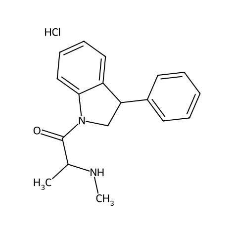 CNC(C)C(=O)N1CC(c2ccccc2)c2ccccc21.Cl